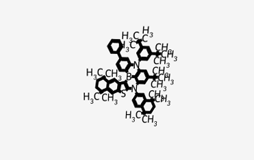 CC(C)(C)c1cc(N2c3cc(-c4ccccc4)ccc3B3c4c2cc(C(C)(C)C)cc4N(c2ccc4c(c2)C(C)(C)CCC4(C)C)c2sc4cc5c(cc4c23)C(C)(C)CCC5(C)C)cc(C(C)(C)C)c1